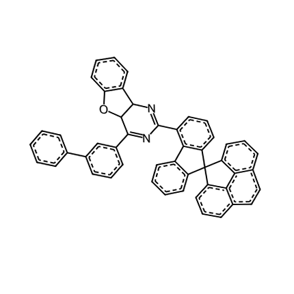 c1ccc(-c2cccc(C3=NC(c4cccc5c4-c4ccccc4C54c5cccc6ccc7cccc4c7c56)=NC4c5ccccc5OC34)c2)cc1